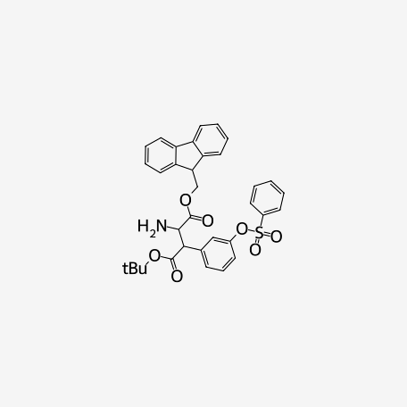 CC(C)(C)OC(=O)C(c1cccc(OS(=O)(=O)c2ccccc2)c1)C(N)C(=O)OCC1c2ccccc2-c2ccccc21